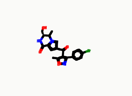 Cc1onc(-c2ccc(Br)cc2)c1C(=O)c1cc2n(c1)C(C)[C@@H](CO)NC2=O